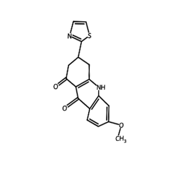 COc1ccc2c(=O)c3c([nH]c2c1)CC(c1nccs1)CC3=O